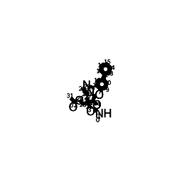 CNC(=O)OC(C(Oc1ccc(-c2ccccc2)cc1)n1ccnc1)C(C)(C)COC(C)=O